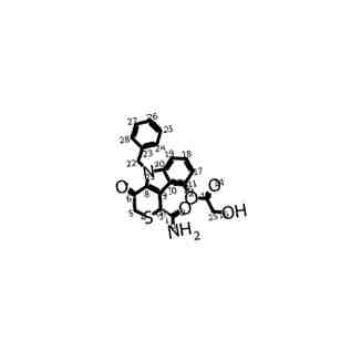 NC(=O)[C@H]1SCC(=O)c2c1c1c(OC(=O)CO)cccc1n2Cc1ccccc1